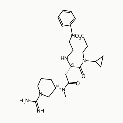 CN(C(=O)C[C@H](NCCCc1ccccc1)C(=O)N(CCC(=O)O)C1CC1)[C@H]1CCCN(C(=N)N)C1